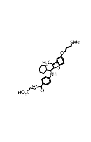 CSCCCOc1ccc2oc(C(Nc3ccc(C(=O)NCCC(=O)O)cc3)C3CCCCC3)c(C)c2c1